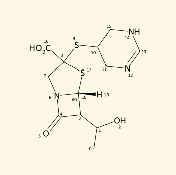 CC(O)C1C(=O)N2CC(SC3CN=CNC3)(C(=O)O)S[C@H]12